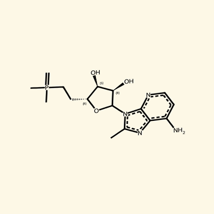 C=P(C)(C)CC[C@H]1OC(n2c(C)nc3c(N)ccnc32)[C@H](O)[C@@H]1O